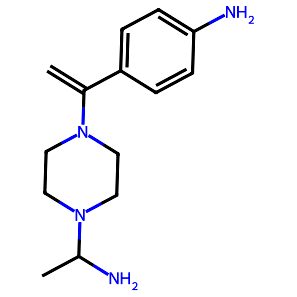 C=C(c1ccc(N)cc1)N1CCN(C(C)N)CC1